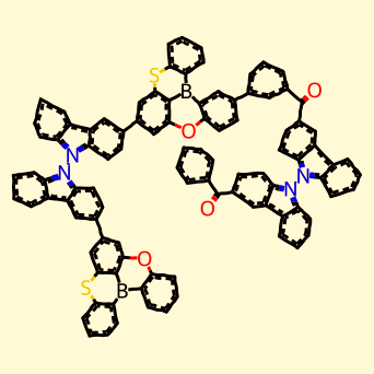 O=C(c1ccccc1)c1ccc2c(c1)c1ccccc1n2-n1c2ccccc2c2cc(C(=O)c3cccc(-c4ccc5c(c4)B4c6ccccc6Sc6cc(-c7ccc8c(c7)c7ccccc7n8-n7c8ccccc8c8cc(-c9cc%10c%11c(c9)Sc9ccccc9B%11c9ccccc9O%10)ccc87)cc(c64)O5)c3)ccc21